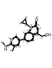 CNc1ncc(-c2ccc3c(CO)cc(=O)n(C4CC4)c3c2)cc1C